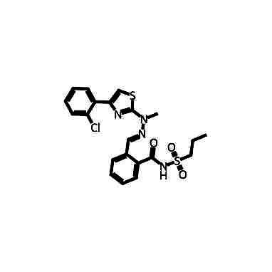 CCCS(=O)(=O)NC(=O)c1ccccc1C=NN(C)c1nc(-c2ccccc2Cl)cs1